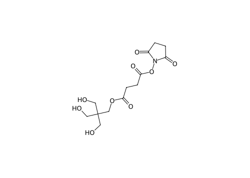 O=C(CCC(=O)ON1C(=O)CCC1=O)OCC(CO)(CO)CO